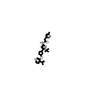 C=C(C)c1ccncc1OC1CCC(c2cc(NC(=O)Cc3cc(C)no3)nn2C(C)(C)C)C1